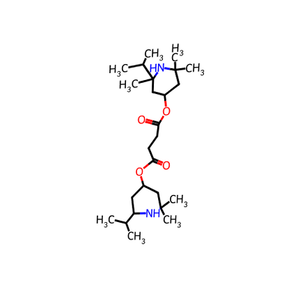 CC(C)C1CC(OC(=O)CCC(=O)OC2CC(C)(C)NC(C)(C(C)C)C2)CC(C)(C)N1